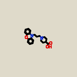 O=C(O)C1CCN(CCCN2c3ccccc3Oc3ccccc32)CC1